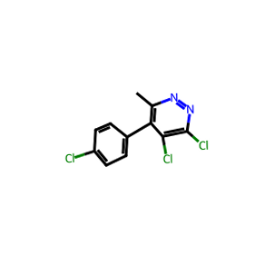 Cc1nnc(Cl)c(Cl)c1-c1ccc(Cl)cc1